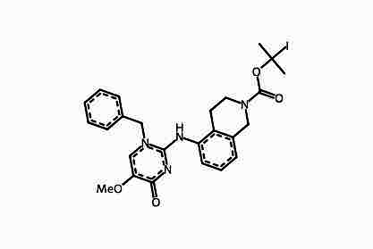 COc1cn(Cc2ccccc2)c(Nc2cccc3c2CCN(C(=O)OC(C)(C)I)C3)nc1=O